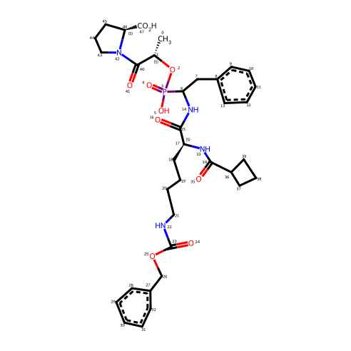 C[C@H](OP(=O)(O)C(Cc1ccccc1)NC(=O)[C@H](CCCCNC(=O)OCc1ccccc1)NC(=O)C1CCC1)C(=O)N1CCC[C@H]1C(=O)O